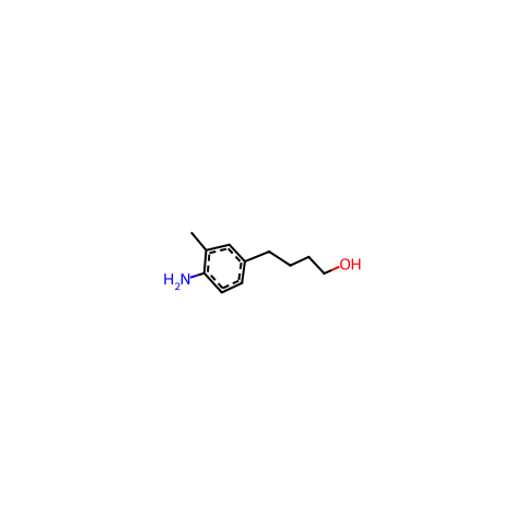 Cc1cc(CCCCO)ccc1N